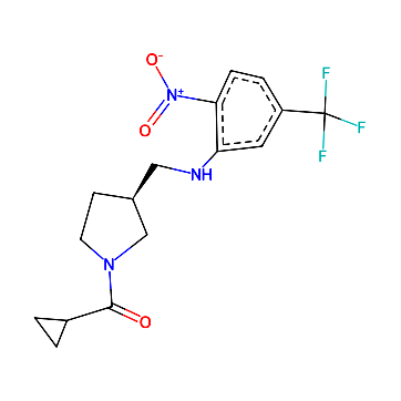 O=C(C1CC1)N1CC[C@@H](CNc2cc(C(F)(F)F)ccc2[N+](=O)[O-])C1